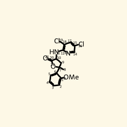 COc1ccccc1C1(C)CC(Nc2ncc(Cl)cc2Cl)C(=O)O1